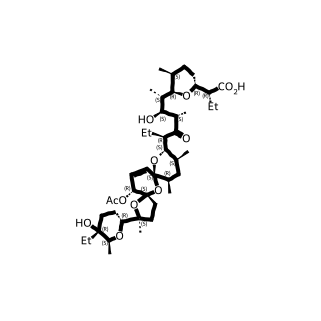 CC[C@@H](C(=O)[C@@H](C)[C@@H](O)[C@H](C)[C@@H]1O[C@@H]([C@@H](CC)C(=O)O)CC[C@@H]1C)[C@H]1O[C@@]2(C=C[C@@H](OC(C)=O)[C@]3(CC[C@@](C)([C@H]4CC[C@](O)(CC)[C@H](C)O4)O3)O2)[C@H](C)C[C@@H]1C